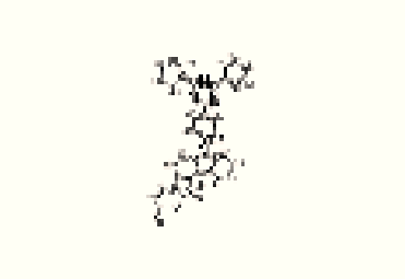 C=C/C=C\C1=C(C)C(C)(C)c2c1ccc1c2c2ccccc2n1-c1ccc(-c2nc(-c3ccccc3)nc(-c3ccccc3)n2)cc1